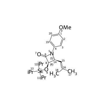 COc1ccc(N2C(=O)[C@H](O[Si](C(C)C)(C(C)C)C(C)C)[C@@H]2C=C(C)C)cc1